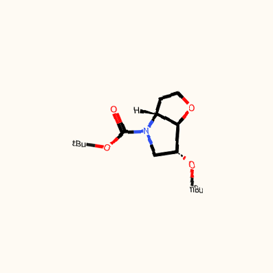 CCCCO[C@@H]1CN(C(=O)OC(C)(C)C)[C@@H]2CCOC21